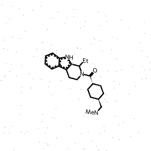 CCC1c2[nH]c3ccccc3c2CCN1C(=O)[C@H]1CC[C@H](CNC)CC1